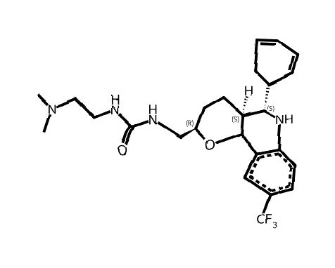 CN(C)CCNC(=O)NC[C@H]1CC[C@@H]2C(O1)c1cc(C(F)(F)F)ccc1N[C@H]2C1C=CC=CC1